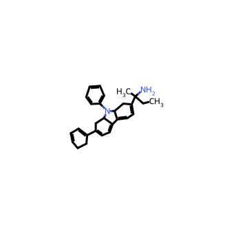 CCC(C)(N)C1=CC=C2C3=CC=C(C4=CC=CCC4)CC3N(c3ccccc3)C2C1